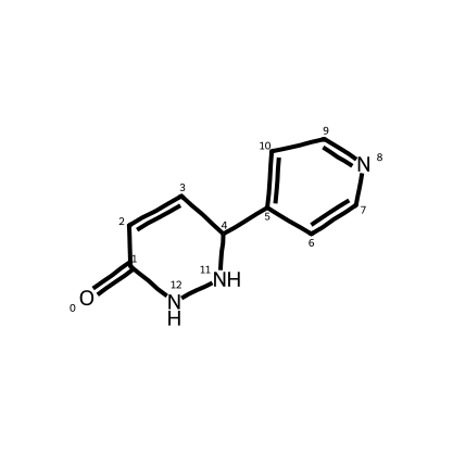 O=C1C=CC(c2ccncc2)NN1